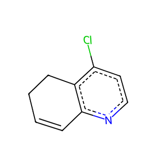 Clc1ccnc2c1CCC=C2